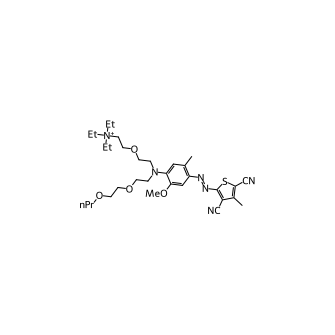 CCCOCCOCCN(CCOCC[N+](CC)(CC)CC)c1cc(C)c(/N=N/c2sc(C#N)c(C)c2C#N)cc1OC